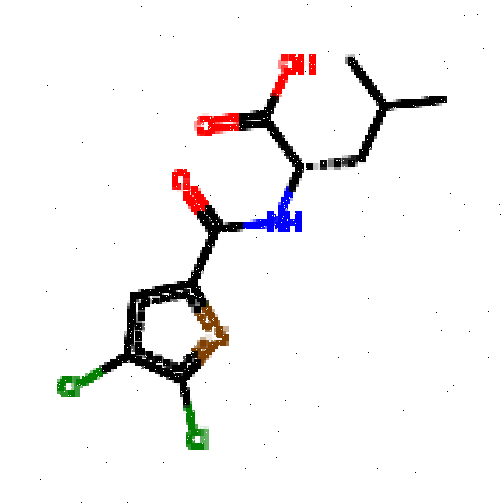 CC(C)C[C@H](NC(=O)c1cc(Cl)c(Cl)s1)C(=O)O